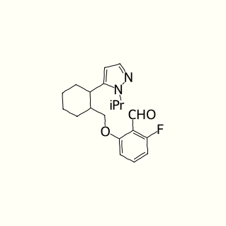 CC(C)n1nccc1C1CCCCC1COc1cccc(F)c1C=O